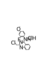 COc1ccc(Nc2nc(CCl)nc3ccccc23)c(F)c1.Cl